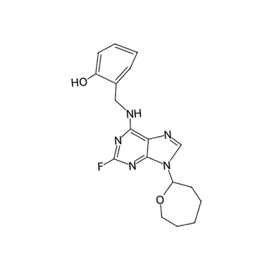 Oc1ccccc1CNc1nc(F)nc2c1ncn2C1CCCCCO1